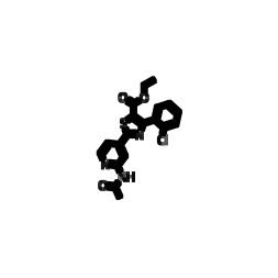 CCOC(=O)c1sc(-c2ccnc(NC(C)=O)c2)nc1-c1ccccc1Cl